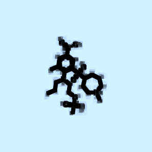 CCCN(CCOS(C)(=O)=O)c1c(C)cc([N+](=O)[O-])cc1S(=O)(=O)C1CCCN(C)CC1